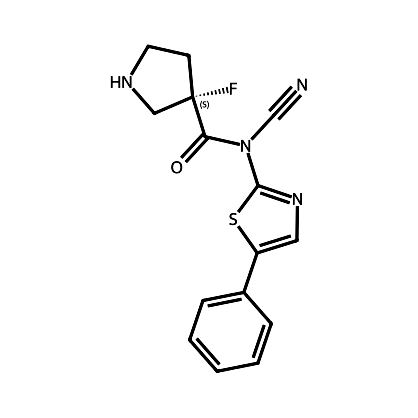 N#CN(C(=O)[C@]1(F)CCNC1)c1ncc(-c2ccccc2)s1